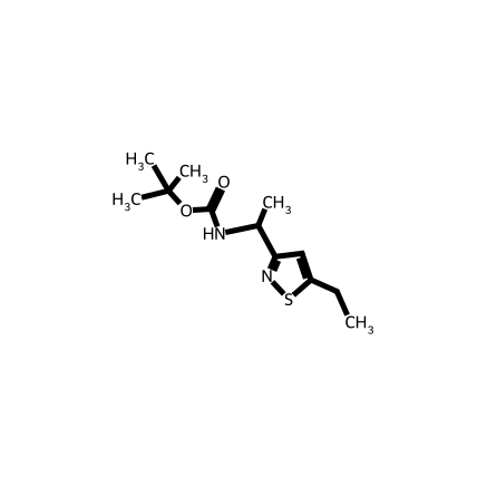 CCc1cc(C(C)NC(=O)OC(C)(C)C)ns1